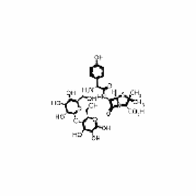 CC1(C)S[C@@H]2[C@H](NC(=O)[C@H](N)c3ccc(O)cc3)C(=O)N2[C@H]1C(=O)O.OC[C@H]1O[C@H](O[C@H]2[C@H](O)[C@@H](O)[C@H](O)O[C@@H]2CO)[C@H](O)[C@@H](O)[C@@H]1O